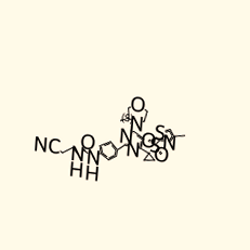 Cc1csc(S(=O)(=O)C2(c3cc(N4CCOC[C@@H]4C)nc(-c4ccc(NC(=O)NCCC#N)cc4)n3)CC2)n1